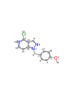 COc1ccc(Cn2ncc3c(Cl)nccc32)cc1